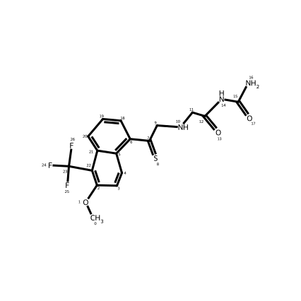 COc1ccc2c(C(=S)CNCC(=O)NC(N)=O)cccc2c1C(F)(F)F